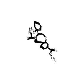 COC(=O)c1ccc2c(c1)OC[C@H](C1(C)C=CC=CC1)N(C(C)=O)C2